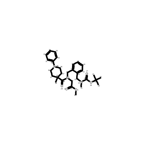 COC(=O)CN(Cc1ccccc1CN(C)C(=O)OC(C)(C)C)C(=O)C1(C)CCN(c2ccccc2)CC1